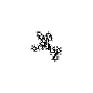 c1ccc(-c2ccc(-c3nc(-c4ccc5c(c4)c4ccccc4n5-c4ccccc4)nc(-c4ccc5ccccc5c4-n4c5ccccc5c5cc6ccccc6cc54)n3)cc2)cc1